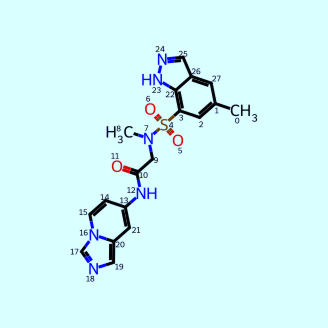 Cc1cc(S(=O)(=O)N(C)CC(=O)Nc2ccn3cncc3c2)c2[nH]ncc2c1